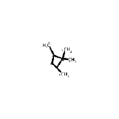 CC1[CH]C(C)C1(C)C